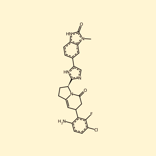 Cn1c(=O)[nH]c2ccc(-c3cnc([C@@H]4CCC5=CC(c6c(N)ccc(Cl)c6F)CC(=O)N54)[nH]3)cc21